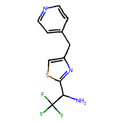 NC(c1nc(Cc2ccncc2)cs1)C(F)(F)F